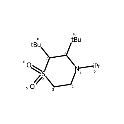 CC(C)N1CCS(=O)(=O)C(C(C)(C)C)C1C(C)(C)C